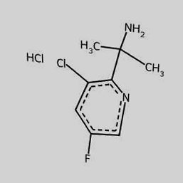 CC(C)(N)c1ncc(F)cc1Cl.Cl